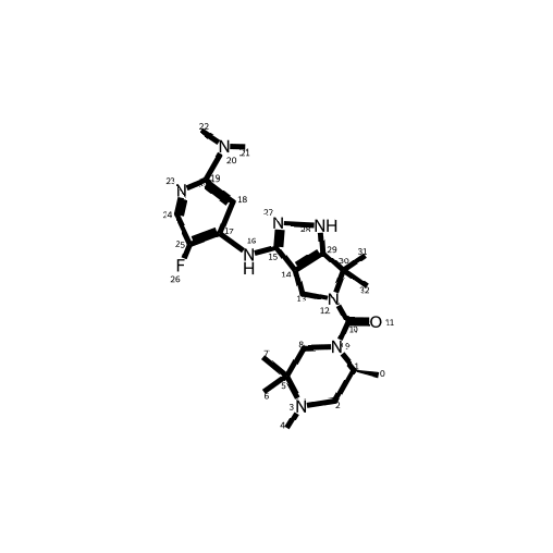 C[C@H]1CN(C)C(C)(C)CN1C(=O)N1Cc2c(Nc3cc(N(C)C)ncc3F)n[nH]c2C1(C)C